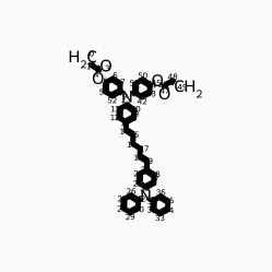 C=CC(=O)Oc1ccc(N(c2ccc(/C=C/CC/C=C/c3ccc(N(c4ccccc4)c4ccccc4)cc3)cc2)c2ccc(OC(=O)C=C)cc2)cc1